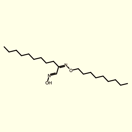 CCCCCCCCCON=C(C=NO)CCCCCCCCC